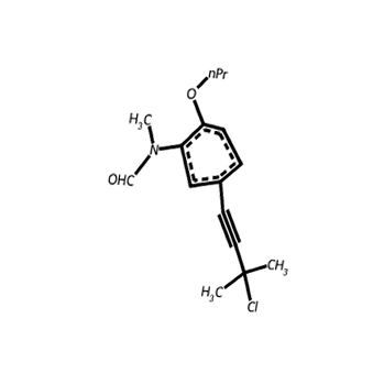 CCCOc1ccc(C#CC(C)(C)Cl)cc1N(C)C=O